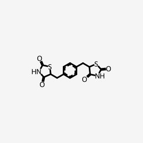 O=C1NC(=O)C(Cc2ccc(CC3SC(=O)NC3=O)cc2)S1